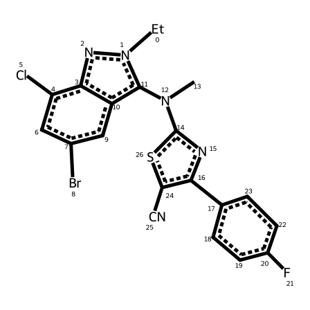 CCn1nc2c(Cl)cc(Br)cc2c1N(C)c1nc(-c2ccc(F)cc2)c(C#N)s1